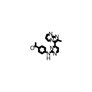 CC(=O)c1ccc(Nc2nccc(-c3c(C)nc4ncccn34)n2)cc1